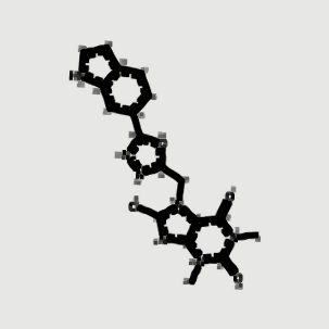 Cn1c(=O)c2c(nc(Cl)n2Cc2nnc(-c3ccc4cc[nH]c4c3)o2)n(C)c1=O